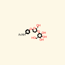 CC(=O)Nc1ccc(O[C@@H]2CC[C@H](OC3C[C@H](CO)[C@@H](O)[C@H](O)[C@H]3O)[C@@H](CO)O2)cc1